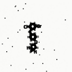 Clc1ccc(Br)cc1Cc1ccc(OC2C[C@@H]3C[C@@H]3C2)cc1